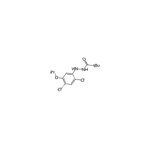 CC(C)Oc1cc(NNC(=O)C(C)(C)C)c(Cl)cc1Cl